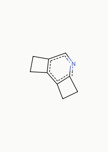 c1nc2c(c3c1CC3)CC2